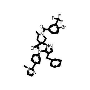 CC1Cc2c(n3ncc(Cc4ccccc4)c3n(-c3ccc(-c4nccn4C)cc3)c2=O)CN1C(=O)c1ccc(Br)c(C(F)(F)F)c1